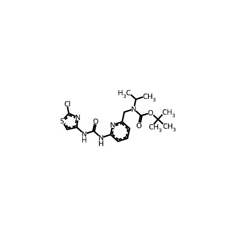 CC(C)N(Cc1cccc(NC(=O)Nc2csc(Cl)n2)n1)C(=O)OC(C)(C)C